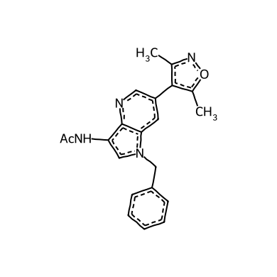 CC(=O)Nc1cn(Cc2ccccc2)c2cc(-c3c(C)noc3C)cnc12